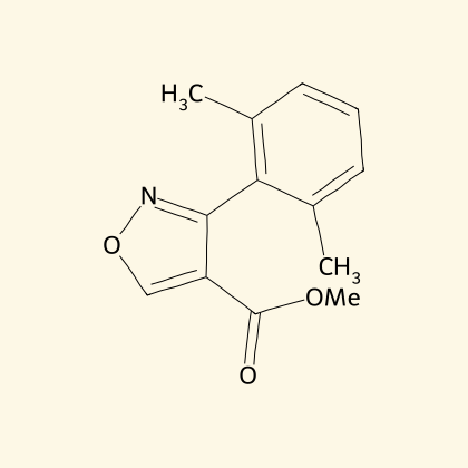 COC(=O)c1conc1-c1c(C)cccc1C